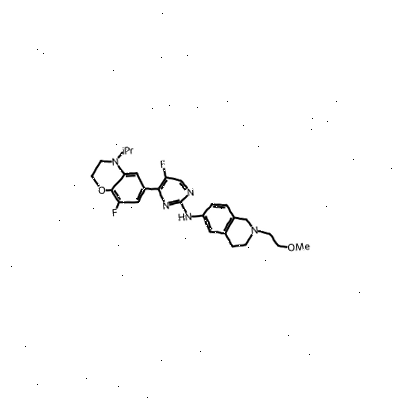 COCCN1CCc2cc(Nc3ncc(F)c(-c4cc(F)c5c(c4)N(C(C)C)CCO5)n3)ccc2C1